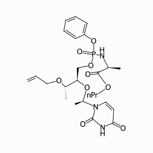 C=CCO[C@@H](C)[C@@H](COP(=O)(N[C@@H](C)C(=O)OCCC)Oc1ccccc1)O[C@H](C)n1ccc(=O)[nH]c1=O